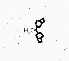 CC(c1ccc2c(c1)C=C2)c1ccc2c(c1)C=C2